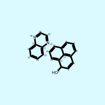 OC1C=Cc2cccc3cccc1c23.c1ccc2nccnc2c1